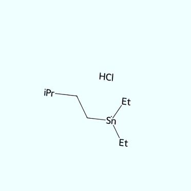 C[CH2][Sn]([CH2]C)[CH2]CC(C)C.Cl